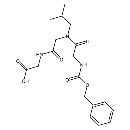 CC(C)CN(CC(=O)NCC(=O)O)C(=O)CNC(=O)OCc1ccccc1